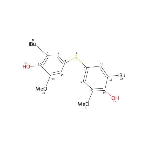 CCC(C)c1cc(Sc2cc(OC)c(O)c(C(C)CC)c2)cc(OC)c1O